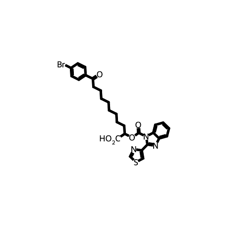 O=C(CCCCCCCCC(OC(=O)n1c(-c2cscn2)nc2ccccc21)C(=O)O)c1ccc(Br)cc1